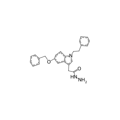 NNC(=O)Cc1cn(CCc2ccccc2)c2ccc(OCc3ccccc3)cc12